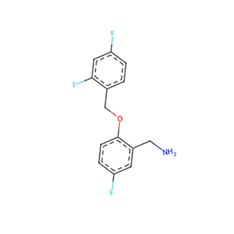 NCc1cc(F)ccc1OCc1ccc(F)cc1F